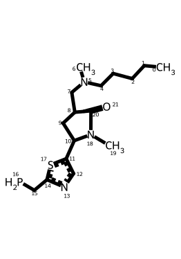 CCCCCN(C)CC1CC(c2cnc(CP)s2)N(C)C1=O